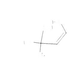 C/C=C\C(C)(C#N)S(=O)(=O)O